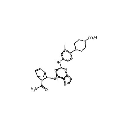 NC(=O)[C@H]1C2C=CC(C2)[C@H]1Nc1nc(Nc2ccc(N3CCN(C(=O)O)CC3)c(F)c2)nc2ccsc12